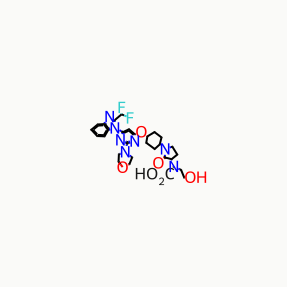 O=C(O)N(CCO)[C@H]1CCN([C@H]2CC[C@H](Oc3cc(-n4c(C(F)F)nc5ccccc54)nc(N4CCOCC4)n3)CC2)C1=O